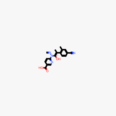 C=NN(/C(O)=C(\C)c1ccc(C#N)cc1C)c1ccc(C(=O)O)cn1